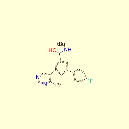 CC(C)c1ncncc1-c1cc(-c2ccc(F)cc2)cc(C(O)NC(C)(C)C)c1